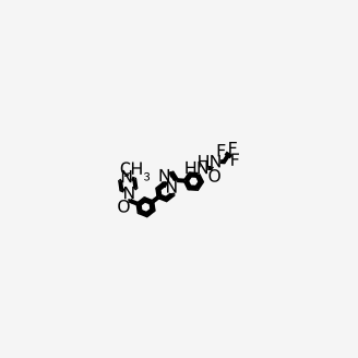 CN1CCN(C(=O)c2cccc(-c3ccn4c(-c5cccc(NC(=O)NCC(F)(F)F)c5)cnc4c3)c2)CC1